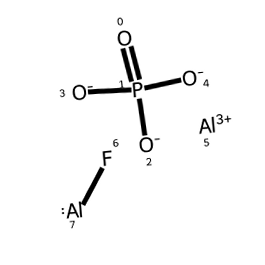 O=P([O-])([O-])[O-].[Al+3].[F][Al]